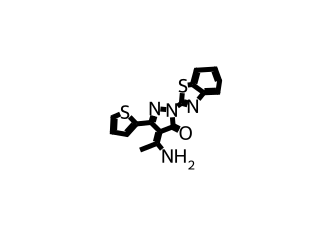 CC(N)=C1C(=O)N(c2nc3ccccc3s2)N=C1c1cccs1